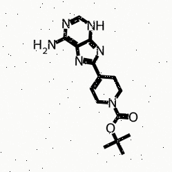 CC(C)(C)OC(=O)N1CC=C(c2nc3[nH]cnc(N)c-3n2)CC1